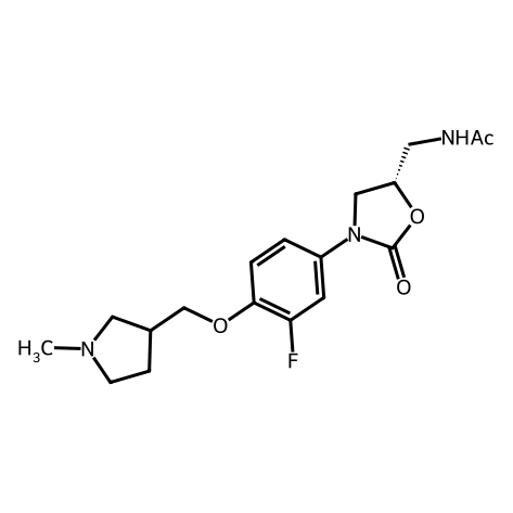 CC(=O)NC[C@H]1CN(c2ccc(OCC3CCN(C)C3)c(F)c2)C(=O)O1